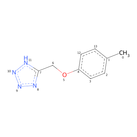 Cc1ccc(OCc2nnn[nH]2)cc1